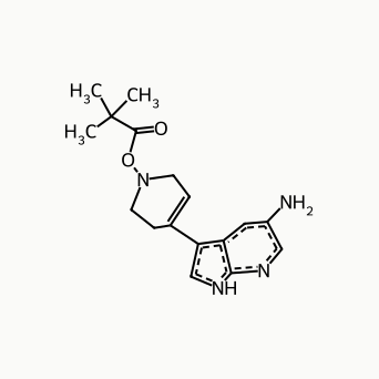 CC(C)(C)C(=O)ON1CC=C(c2c[nH]c3ncc(N)cc23)CC1